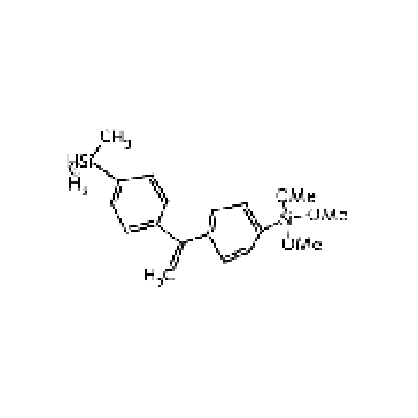 C=C(c1ccc([SiH](C)C)cc1)c1ccc([Si](OC)(OC)OC)cc1